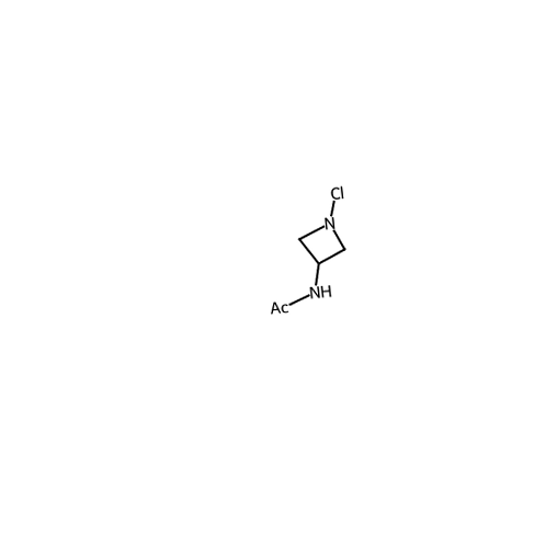 CC(=O)NC1CN(Cl)C1